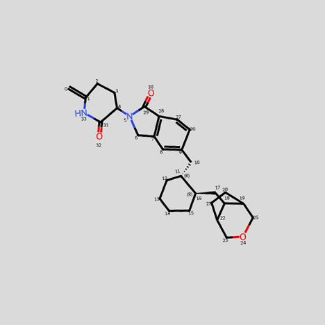 C=C1CCC(N2Cc3cc(C[C@H]4CCCC[C@@H]4CC4C5CCC4COC5)ccc3C2=O)C(=O)N1